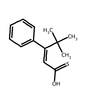 CC(C)(C)C(=CC(O)=S)c1ccccc1